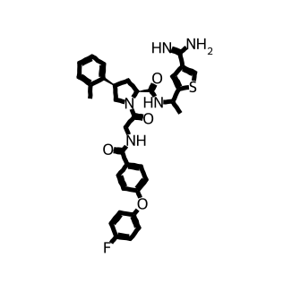 Cc1ccccc1[C@H]1C[C@@H](C(=O)NC(C)c2cc(C(=N)N)cs2)N(C(=O)CNC(=O)c2ccc(Oc3ccc(F)cc3)cc2)C1